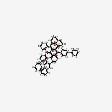 c1ccc(-c2ccc(N(c3cccc(-c4ccccc4N(c4ccc(-c5ccccc5)cc4)c4cccc(-c5cccc6ccccc56)c4)c3)c3ccc4c(c3)oc3cc5ccccc5cc34)cc2)cc1